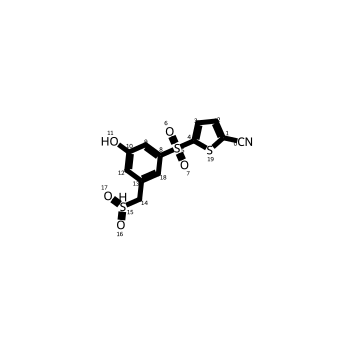 N#Cc1ccc(S(=O)(=O)c2cc(O)cc(C[SH](=O)=O)c2)s1